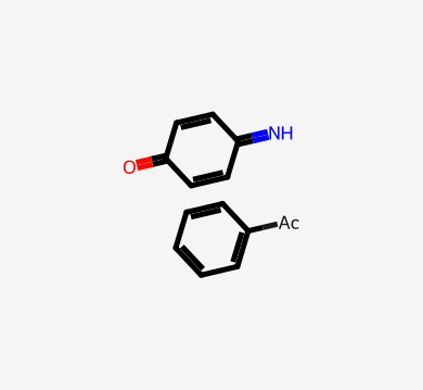 CC(=O)c1ccccc1.N=C1C=CC(=O)C=C1